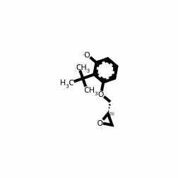 CC(C)(C)c1c([O])cccc1OC[C@@H]1CO1